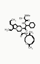 C=CC1=C(/C=C\C)CC2CN(C(=O)C(NC(=O)[C@H](CC)NC)C3CCCCC3)[C@H](C(=O)N[C@@H]3CCOC(=C)/C=C\C=C/C3=C)CN12